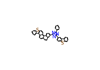 c1ccc(-c2nc(-c3ccc4c(ccc5ccc6c(ccc7sc8ccccc8c76)c54)c3)nc(-c3ccc4sc5ccccc5c4c3)n2)cc1